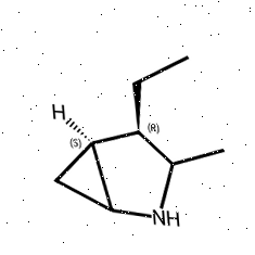 CC[C@H]1C(C)NC2C[C@H]21